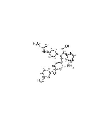 C=CC(=O)Nc1ccc(-c2c(-c3ccc(Oc4cccc(C)n4)cc3)c3c(N)ncnn3c2CO)cc1